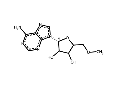 COCC1O[C@@H](n2cnc3c(N)ncnc32)C(O)C1O